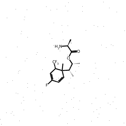 C[C@H](N)C(=O)O[C@H](C)[C@H](C)C1(C)C=CC(F)=CC1C(F)(F)F